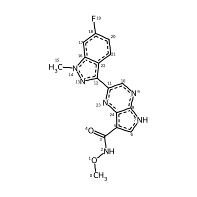 CONC(=O)c1c[nH]c2ncc(-c3nn(C)c4cc(F)ccc34)nc12